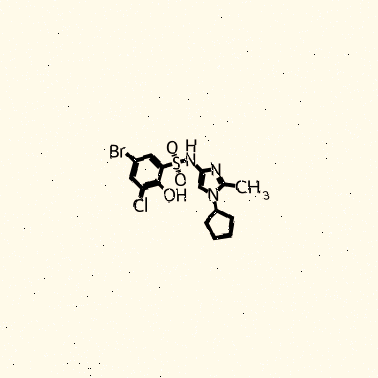 Cc1nc(NS(=O)(=O)c2cc(Br)cc(Cl)c2O)cn1C1CCCC1